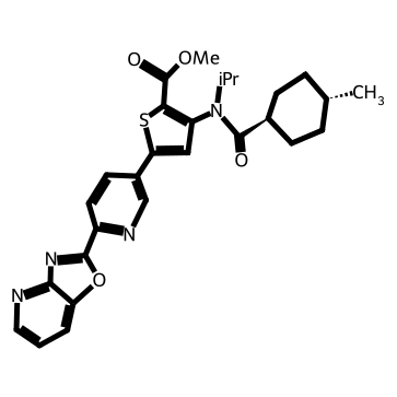 COC(=O)c1sc(-c2ccc(-c3nc4ncccc4o3)nc2)cc1N(C(=O)[C@H]1CC[C@H](C)CC1)C(C)C